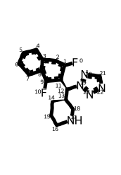 Fc1cc2ccccc2c(F)c1[C@H]([C@@H]1CCCNC1)n1ncnn1